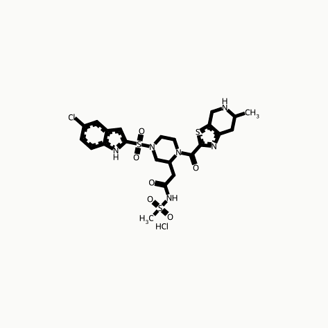 CC1Cc2nc(C(=O)N3CCN(S(=O)(=O)c4cc5cc(Cl)ccc5[nH]4)CC3CC(=O)NS(C)(=O)=O)sc2CN1.Cl